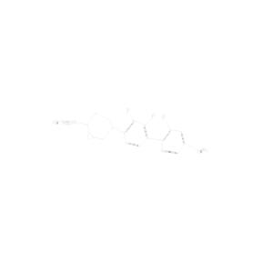 CCCCCCCC1CCC(c2ccc(-c3ccc(CCC)cc3F)c(F)c2F)CO1